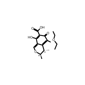 CC1=C2C(=CO[C@H](C)[C@H]2C)C(O)=C(C(=O)O)C1=O.CCOCC